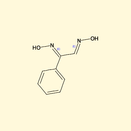 O/N=C/C(=N/O)c1ccccc1